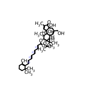 CC(=O)O[C@@]12[C@H](OC(=O)/C=C/C=C/C=C/C=C/C3=C(C)CCCC3(C)C)[C@@H](C)[C@@]3(O)[C@@H](C=C(CO)C[C@]4(O)C(=O)C(C)=C[C@@H]34)[C@H]1C2(C)C